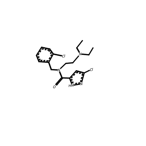 CCN(CC)CCN(Cc1ccccc1Cl)C(=O)c1cc(Cl)n[nH]1